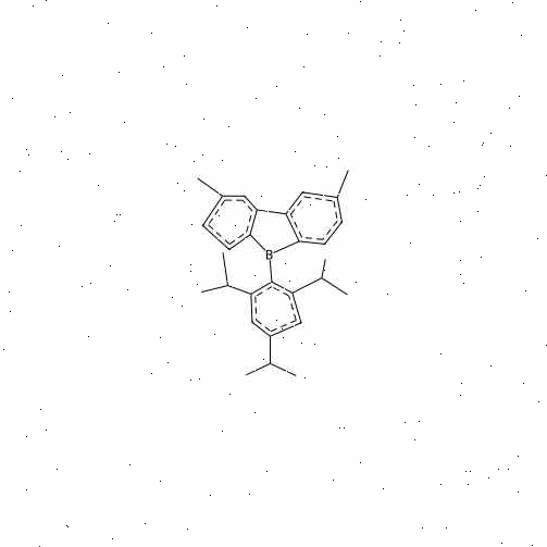 Cc1ccc2c(c1)-c1cc(C)ccc1B2c1c(C(C)C)cc(C(C)C)cc1C(C)C